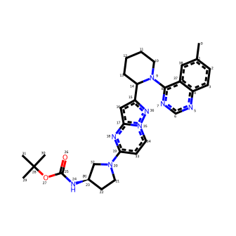 Cc1ccc2ncnc(N3CCCCC3c3cc4nc(N5CC[C@@H](NC(=O)OC(C)(C)C)C5)ccn4n3)c2c1